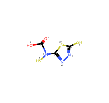 O=C(O)N(S)c1nnc(S)s1